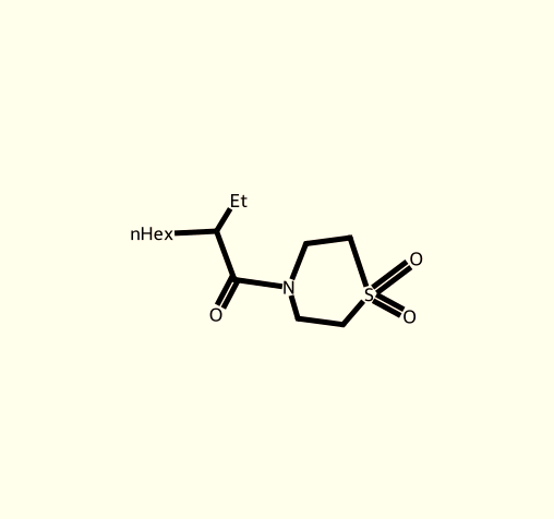 CCCCCCC(CC)C(=O)N1CCS(=O)(=O)CC1